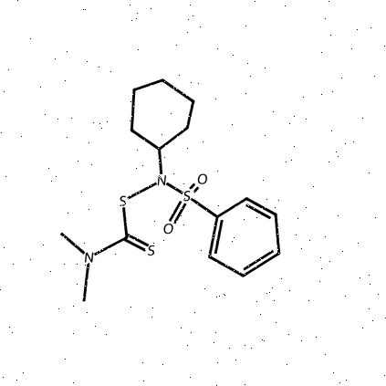 CN(C)C(=S)SN(C1CCCCC1)S(=O)(=O)c1ccccc1